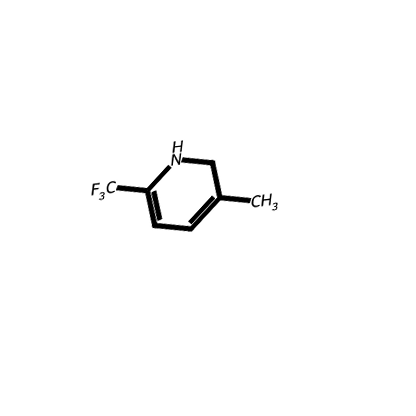 CC1=CC=C(C(F)(F)F)NC1